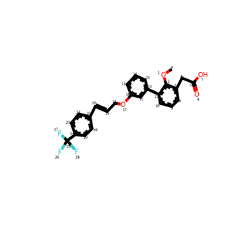 COc1c(CC(=O)O)cccc1-c1cccc(OCC=Cc2ccc(C(F)(F)F)cc2)c1